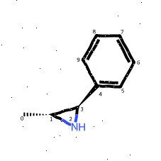 C[C@H]1N[C@@H]1c1ccccc1